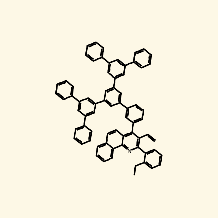 C=Cc1c(-c2ccccc2CC)nc2c(ccc3ccccc32)c1-c1cccc(-c2cc(-c3cc(-c4ccccc4)cc(-c4ccccc4)c3)cc(-c3cc(-c4ccccc4)cc(-c4ccccc4)c3)c2)c1